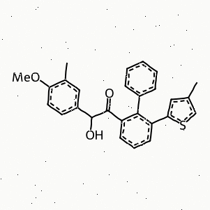 COc1ccc(C(O)C(=O)c2cccc(-c3cc(C)cs3)c2-c2ccccc2)cc1C